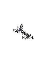 CN(C)C(=O)N1CCN(S(=O)(=O)c2ccc(/C(=N\O[C@@H]3CCOC3)C(=O)Nc3ncc(F)s3)cc2)CC1